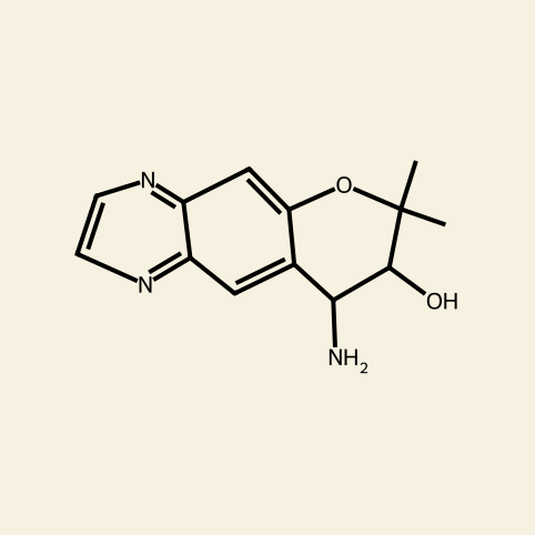 CC1(C)Oc2cc3nccnc3cc2C(N)C1O